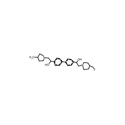 CC1CCN(CC(O)c2ccc(-c3ccc(C(O)CN4CCC(CF)CC4)cc3)cc2)CC1